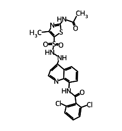 CC(=O)Nc1nc(C)c(S(=O)(=O)NNc2ccnc3c(NC(=O)c4c(Cl)cccc4Cl)cccc23)s1